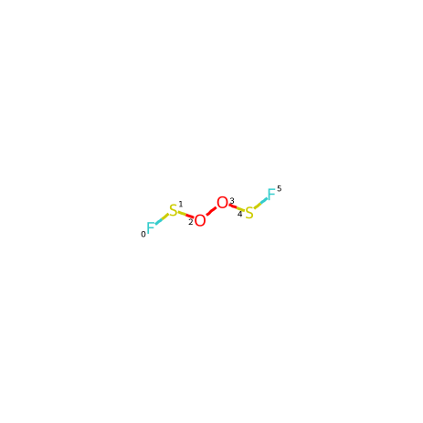 FSOOSF